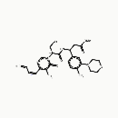 C=C/C=C\c1ncn([C@@H](CC(C)C)C(=O)NC(CC(=O)OC)c2ccc(C)c(N3CCOCC3)c2)c(=O)c1C